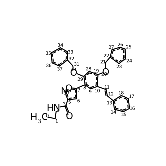 CCNC(=O)c1cc(-c2cc(C=Cc3ccccc3)c(OCc3ccccc3)cc2OCc2ccccc2)on1